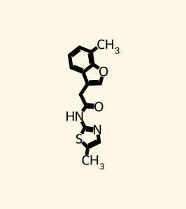 Cc1cnc(NC(=O)Cc2coc3c(C)cccc23)s1